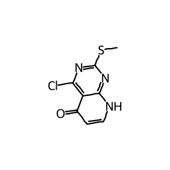 CSc1nc(Cl)c2c(=O)cc[nH]c2n1